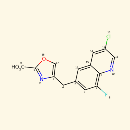 O=C(O)c1nc(Cc2cc(F)c3ncc(Cl)cc3c2)co1